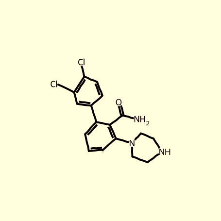 NC(=O)c1c(N2CCNCC2)[c]ccc1-c1ccc(Cl)c(Cl)c1